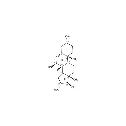 CC(=O)O[C@@H]1CC[C@@]2(C)C(=C[C@H](O)[C@H]3[C@@H]4C[C@@H](OC(C)=O)[C@H](O)[C@@]4(C)CC[C@@H]32)C1